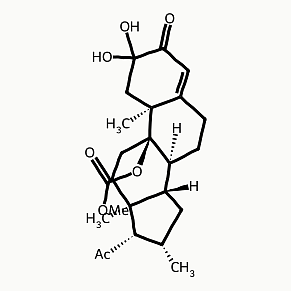 COC(=O)O[C@]12CC[C@@]3(C)[C@@H](C[C@H](C)[C@@H]3C(C)=O)[C@@H]1CCC1=CC(=O)C(O)(O)C[C@@]12C